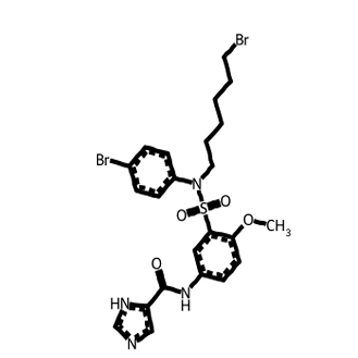 COc1ccc(NC(=O)c2cnc[nH]2)cc1S(=O)(=O)N(CCCCCCBr)c1ccc(Br)cc1